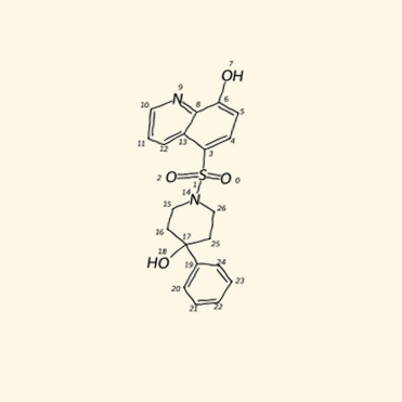 O=S(=O)(c1ccc(O)c2ncccc12)N1CCC(O)(c2ccccc2)CC1